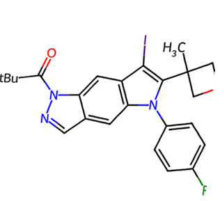 CC(C)(C)C(=O)n1ncc2cc3c(cc21)c(I)c(C1(C)COC1)n3-c1ccc(F)cc1